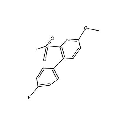 COc1ccc(-c2ccc(F)cc2)c(S(C)(=O)=O)c1